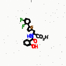 O=C(O)C(=Cc1ccc(-c2cccc(F)c2F)s1)NC(=O)c1ccccc1O